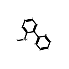 CPc1ccccc1-c1ccccc1